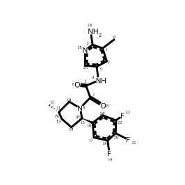 Cc1cc(NC(=O)C(=O)N2C[C@@H](C)CC[C@@H]2c2cc(F)c(F)c(F)c2)cnc1N